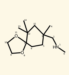 CNCC1(C)CCC2(OCCO2)C(C)(C)C1